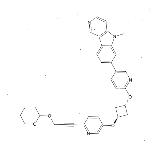 Cn1c2ccncc2c2ccc(-c3ccc(O[C@H]4C[C@H](Oc5ccc(C#CCOC6CCCCO6)nc5)C4)nc3)cc21